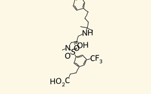 CN(C[C@H](O)CNC(C)(C)CCCc1ccccc1)S(=O)(=O)c1cc(CCC(=O)O)cc(C(F)(F)F)c1